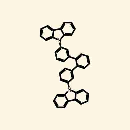 c1cc(-c2ccccc2-c2cccc(-n3c4ccccc4c4ccccc43)c2)cc(-n2c3ccccc3c3ccccc32)c1